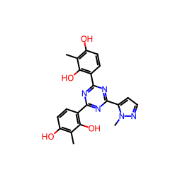 Cc1c(O)ccc(-c2nc(-c3ccc(O)c(C)c3O)nc(-c3ccnn3C)n2)c1O